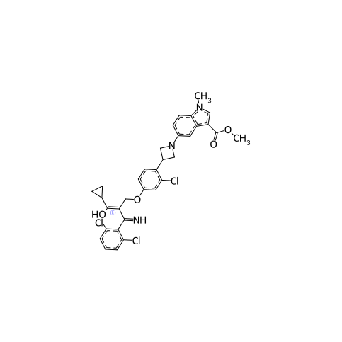 COC(=O)c1cn(C)c2ccc(N3CC(c4ccc(OC/C(C(=N)c5c(Cl)cccc5Cl)=C(/O)C5CC5)cc4Cl)C3)cc12